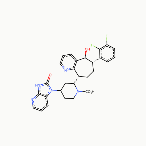 O=C(O)N1CCC(n2c(=O)[nH]c3ncccc32)CC1[C@H]1CC[C@@H](c2cccc(F)c2F)[C@H](O)c2cccnc21